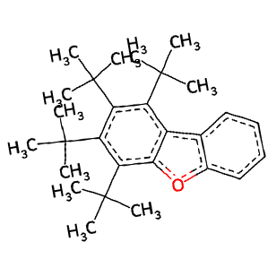 CC(C)(C)c1c(C(C)(C)C)c(C(C)(C)C)c2c(oc3ccccc32)c1C(C)(C)C